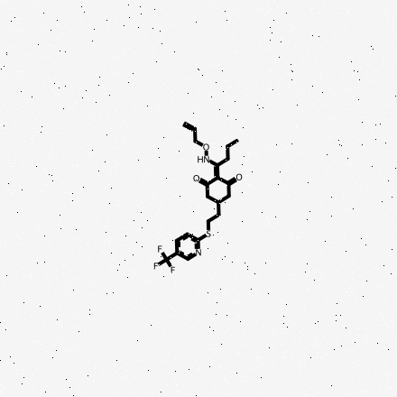 C=CCONC(CCC)=C1C(=O)CC(CCSc2ccc(C(F)(F)F)cn2)CC1=O